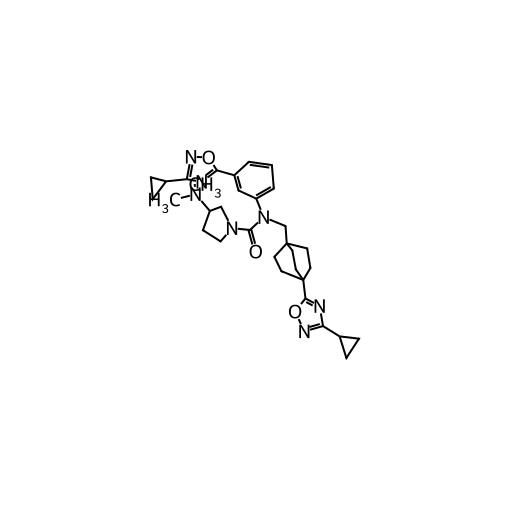 CN(C)C1CCN(C(=O)N(CC23CCC(c4nc(C5CC5)no4)(CC2)CC3)c2cccc(-c3nc(C4CC4)no3)c2)C1